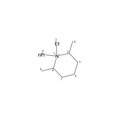 CCC[N+]1(CC)C(C)CCCC1C